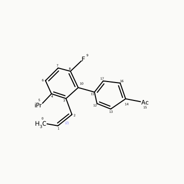 C/C=C\c1c(C(C)C)ccc(F)c1-c1ccc(C(C)=O)cc1